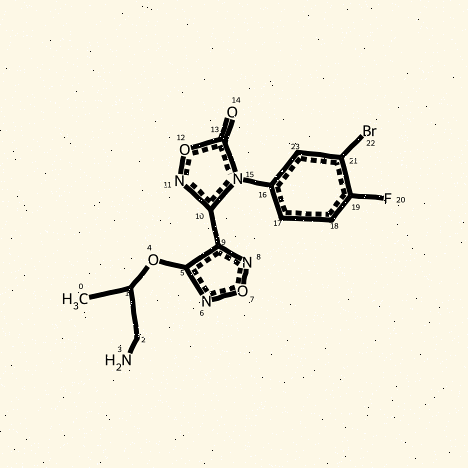 CC(CN)Oc1nonc1-c1noc(=O)n1-c1ccc(F)c(Br)c1